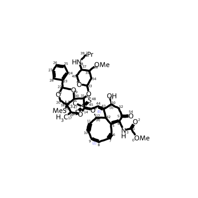 COC(=O)NC1=C2C#C/C=C\C#C[C@H](OC3OC(C)C4(SC)COC(c5ccccc5)OC4C3OC3CC(OC)C(NC(C)C)CO3)C2/C(=C\CS(C)(=S)=S)[C@@H](O)CC1=O